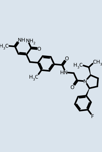 CC(=N)/C=C(/Cc1ccc(C(=O)NCC(=O)N2[C@@H](C(C)C)CC[C@H]2c2cccc(F)c2)cc1C)C(N)=O